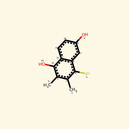 Cc1c(C)c(S)c2cc(O)ccc2c1O